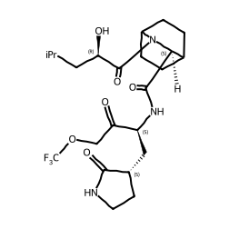 CC(C)C[C@@H](O)C(=O)N1C2CCC(CC2)[C@H]1C(=O)N[C@@H](C[C@@H]1CCNC1=O)C(=O)COC(F)(F)F